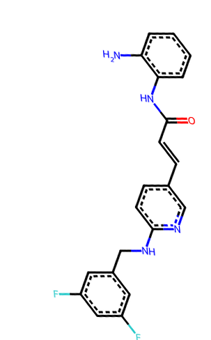 Nc1ccccc1NC(=O)C=Cc1ccc(NCc2cc(F)cc(F)c2)nc1